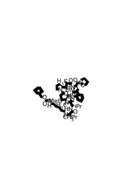 CC[C@H](C)[C@@H]([C@@H](CC(=O)N1CCC[C@H]1[C@H](OC)[C@@H](C)C(=O)N[C@@H](Cc1c[nH]c2ccccc12)C(=O)N1CCCCO1)OC)N(C)C(=O)[C@@H](NC(=O)[C@H](C(C)C)N(C)CCCCCCNC(=O)OCc1ccccc1)C(C)C